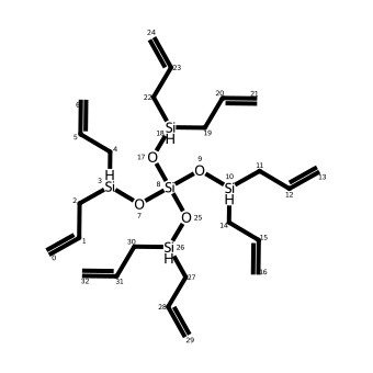 C=CC[SiH](CC=C)O[Si](O[SiH](CC=C)CC=C)(O[SiH](CC=C)CC=C)O[SiH](CC=C)CC=C